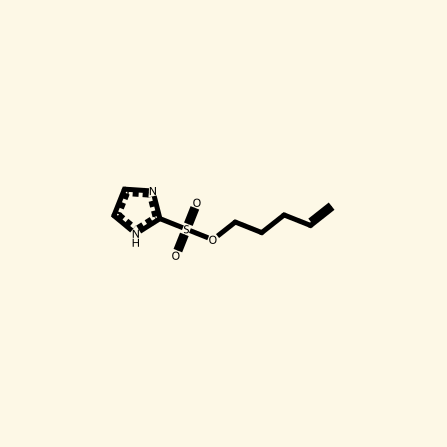 C=CCCCOS(=O)(=O)c1ncc[nH]1